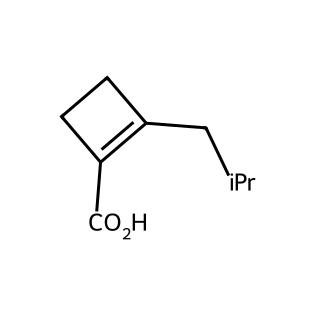 CC(C)CC1=C(C(=O)O)CC1